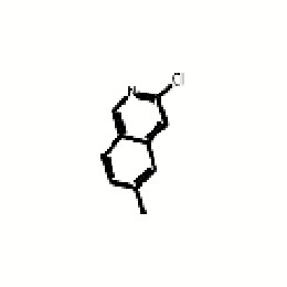 Cc1ccc2cnc(Cl)cc2c1